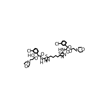 O=C(CCN1CCOCC1)OC(C(=O)Nc1nnc(CCCCc2nnc(NC(=O)C(OC(O)CCN3CCOCC3)c3cccc(Cl)c3)s2)s1)c1cccc(Cl)c1